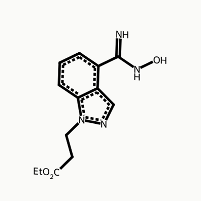 CCOC(=O)CCn1ncc2c(C(=N)NO)cccc21